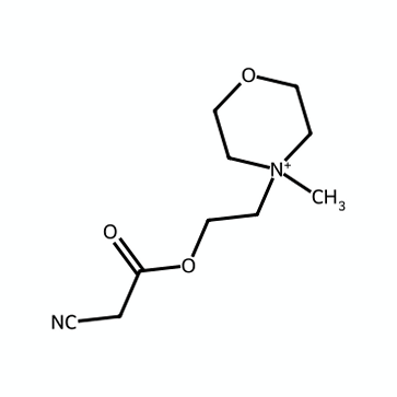 C[N+]1(CCOC(=O)CC#N)CCOCC1